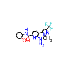 Cn1nc(C(F)(F)F)cc1-c1ccc(C(=O)Nc2ccccc2O)nc1N